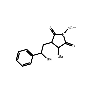 CCCCCCCCN1C(=O)C(CC(c2ccccc2)C(C)(C)C)C(C(C)(C)C)C1=O